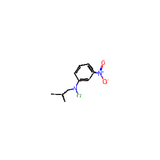 C[C](C)CN(Cl)c1cccc([N+](=O)[O-])c1